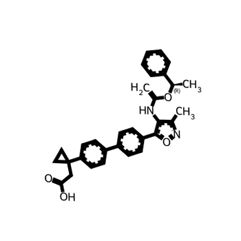 C=C(Nc1c(C)noc1-c1ccc(-c2ccc(C3(CC(=O)O)CC3)cc2)cc1)O[C@H](C)c1ccccc1